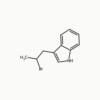 CC(Br)Cc1c[nH]c2ccccc12